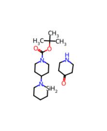 CC(C)(C)OC(=O)N1CCC(N2CCCC[SiH2]2)CC1.O=C1CCNCC1